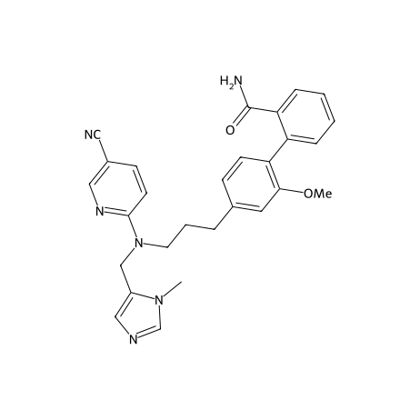 COc1cc(CCCN(Cc2cncn2C)c2ccc(C#N)cn2)ccc1-c1ccccc1C(N)=O